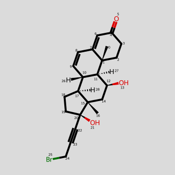 C[C@]12CCC(=O)C=C1C=C[C@@H]1[C@@H]2[C@@H](O)C[C@@]2(C)[C@H]1CC[C@@]2(O)C#CCBr